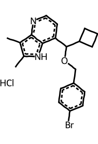 Cc1[nH]c2c(C(OCc3ccc(Br)cc3)C3CCC3)ccnc2c1C.Cl